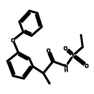 CCS(=O)(=O)NC(=O)C(C)c1cccc(Oc2ccccc2)c1